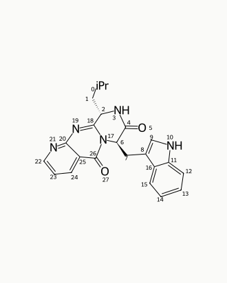 CC(C)C[C@@H]1NC(=O)[C@@H](Cc2c[nH]c3ccccc23)n2c1nc1ncccc1c2=O